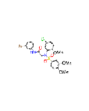 COc1ccc(S(=O)(=O)N(CC(=O)Nc2cccc(Br)c2)c2cc(Cl)ccc2OC)cc1OC